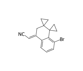 N#C/C=C1\CC2(CC2)C2(CC2)c2c(Br)cccc21